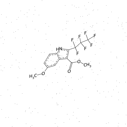 COC(=O)c1c(C(F)(F)C(F)(F)C(F)(F)F)[nH]c2ccc(OC)cc12